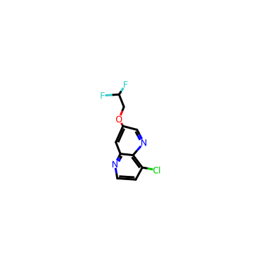 FC(F)COc1cnc2c(Cl)ccnc2c1